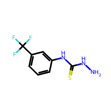 NNC(=S)Nc1cccc(C(F)(F)F)c1